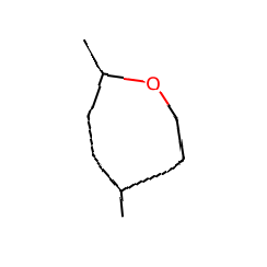 CC1CCOC(C)CC1